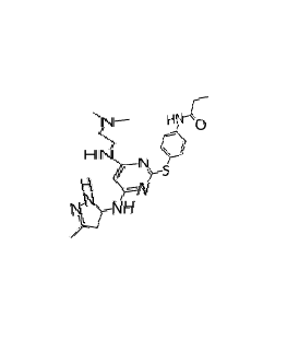 CCC(=O)Nc1ccc(Sc2nc(NCCN(C)C)cc(NC3CC(C)=NN3)n2)cc1